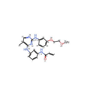 C=CC(=O)Nc1cccc(Nc2nc(Nc3cccc(OCCOCCC)c3)ncc2C)c1